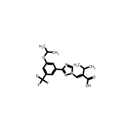 CC(C)Oc1cc(-c2ncn(/C=C(/C(=O)O)C(C)C)n2)cc(C(F)(F)F)c1